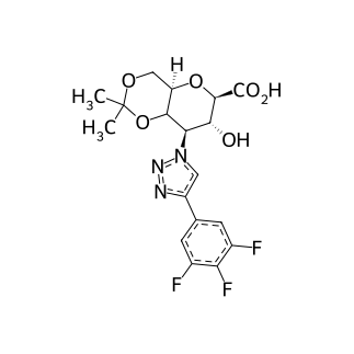 CC1(C)OC[C@H]2O[C@@H](C(=O)O)[C@H](O)[C@@H](n3cc(-c4cc(F)c(F)c(F)c4)nn3)C2O1